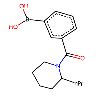 CCCC1CCCCN1C(=O)c1cccc(B(O)O)c1